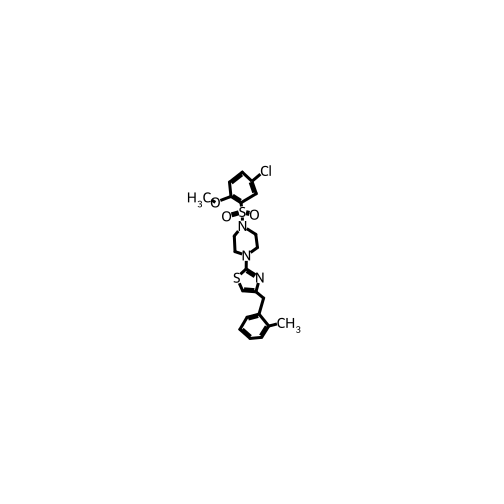 COc1ccc(Cl)cc1S(=O)(=O)N1CCN(c2nc(Cc3ccccc3C)cs2)CC1